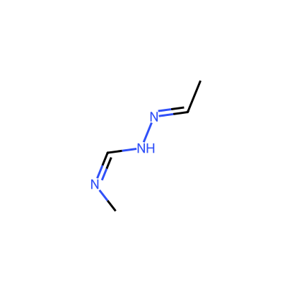 C/C=N/N/C=N\C